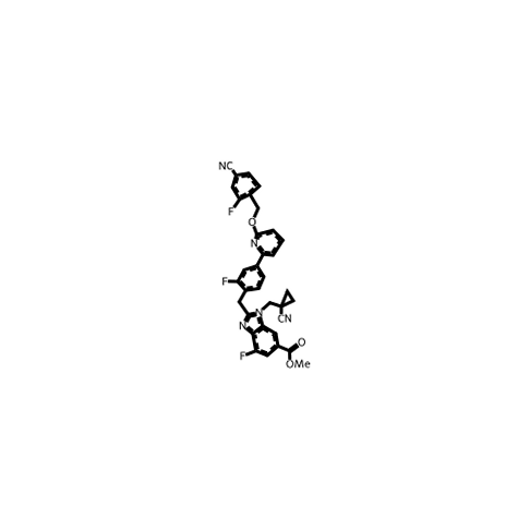 COC(=O)c1cc(F)c2nc(Cc3ccc(-c4cccc(OCc5ccc(C#N)cc5F)n4)cc3F)n(CC3(C#N)CC3)c2c1